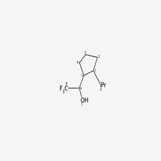 CC(C)C1CCCC1C(O)C(F)(F)F